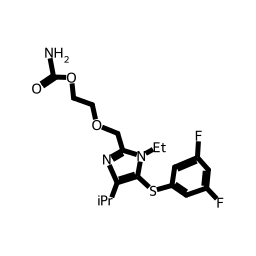 CCn1c(COCCOC(N)=O)nc(C(C)C)c1Sc1cc(F)cc(F)c1